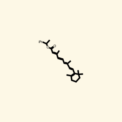 CC1=C(/C=C/C(C)=C/C=C/C(C)=C/C(=O)OC(C)C(C)C)C(C)(C)CCC1